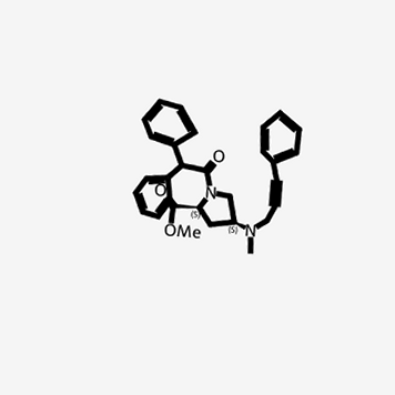 COC(=O)[C@@H]1C[C@H](N(C)CC#Cc2ccccc2)CN1C(=O)C(c1ccccc1)c1ccccc1